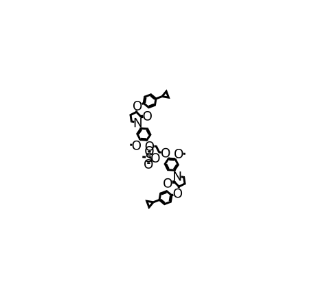 COc1cc(N2CCC(Oc3ccc(C4CC4)cc3)C2=O)ccc1OCC(Oc1ccc(N2CCC(Oc3ccc(C4CC4)cc3)C2=O)cc1OC)OS(C)(=O)=O